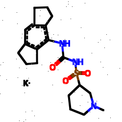 CN1CCCC(S(=O)(=O)NC(=O)Nc2c3c(cc4c2CCC4)CCC3)C1.[K]